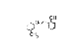 Cc1cccc(OCCc2ccccc2O)c1